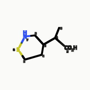 CC(C(=O)O)C1CCSNC1